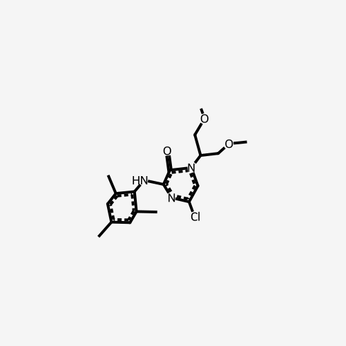 COCC(COC)n1cc(Cl)nc(Nc2c(C)cc(C)cc2C)c1=O